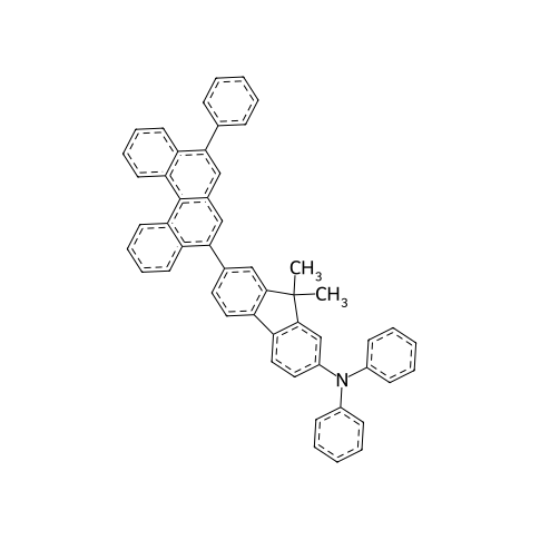 CC1(C)c2cc(-c3cc4cc(-c5ccccc5)c5ccccc5c4c4ccccc34)ccc2-c2ccc(N(c3ccccc3)c3ccccc3)cc21